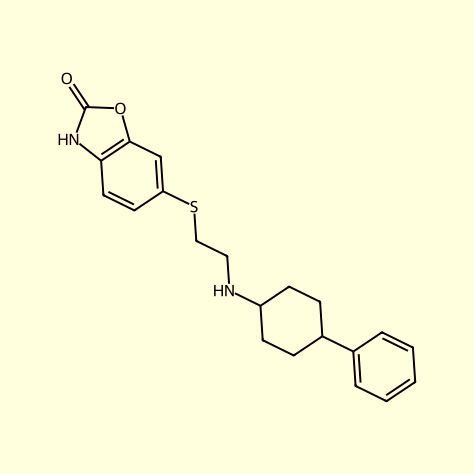 O=c1[nH]c2ccc(SCCNC3CCC(c4ccccc4)CC3)cc2o1